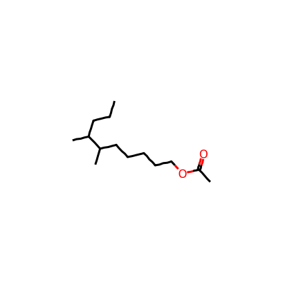 CCCC(C)C(C)CCCCCOC(C)=O